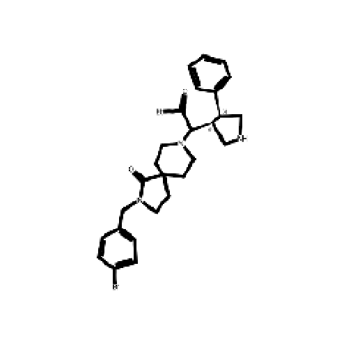 CCC(=O)C([C@@H]1CNC[C@@H]1c1ccccc1)N1CCC2(CCN(Cc3ccc(Br)cc3)C2=O)CC1